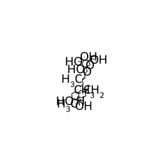 C=C1CC[C@@H]2[C@@](C)(CO)[C@H](O)CC[C@@]2(C)[C@@H]1CC/C(C)=C/CO[C@@H]1O[C@H](CO)[C@@H](O)[C@H](O)[C@H]1O